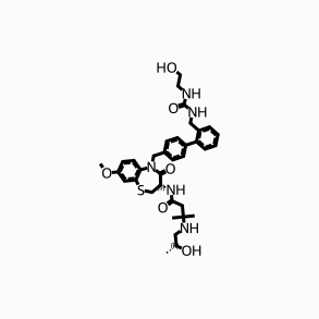 COc1ccc2c(c1)SC[C@@H](NC(=O)CC(C)(C)NC[C@@H](C)O)C(=O)N2Cc1ccc(-c2ccccc2CNC(=O)NCCO)cc1